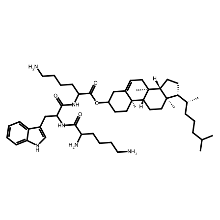 CC(C)CCC[C@@H](C)[C@H]1CC[C@@H]2[C@]1(C)CC[C@H]1[C@@]2(C)CC=C2CC(OC(=O)C(CCCCN)NC(=O)C(Cc3c[nH]c4ccccc34)NC(=O)C(N)CCCCN)CC[C@@]21C